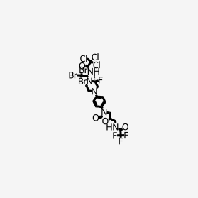 C[C@]1(F)CN(c2ccc(N3CC(CNC(=O)C(F)(F)F)OC3=O)cc2)CCN1[C@@H](NC(=O)C(Cl)(Cl)Cl)C(Br)(Br)Br